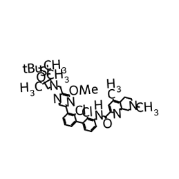 COc1nc(-c2cccc(-c3cccc(NC(=O)c4cc(C)c5c(n4)CN(C)CC5)c3Cl)c2Cl)cnc1CN1CC(C)(O[Si](C)(C)C(C)(C)C)C1